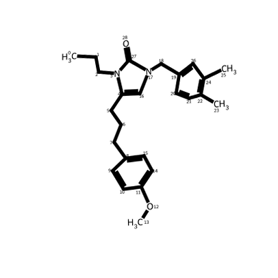 CCCn1c(CCCc2ccc(OC)cc2)cn(Cc2ccc(C)c(C)c2)c1=O